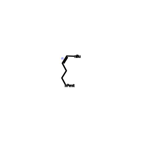 [CH2]CCCCCC/C=C\CCCC